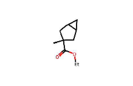 CCOC(=O)C1(C)CC2CC2C1